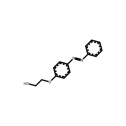 OCCOc1ccc(N=Nc2ccccc2)cc1